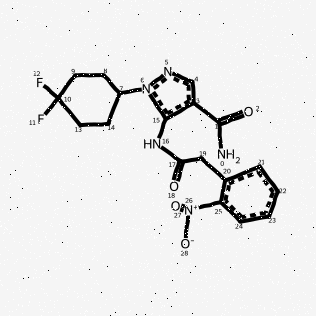 NC(=O)c1cnn(C2CCC(F)(F)CC2)c1NC(=O)Cc1ccccc1[N+](=O)[O-]